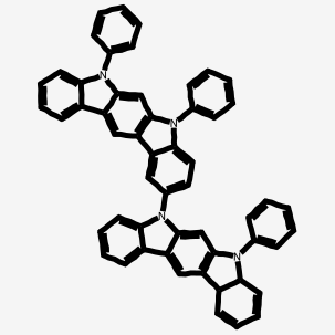 C1=CC2c3cc4c5ccccc5n(-c5ccc6c(c5)c5cc7c8ccccc8n(-c8ccccc8)c7cc5n6-c5ccccc5)c4cc3N(c3ccccc3)C2C=C1